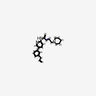 C=CCc1cccc(-c2ccc(NC(=C)/C=C/CN3CCCCC3)nc2)c1